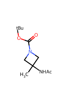 CC(=O)NC1(C)CN(C(=O)OC(C)(C)C)C1